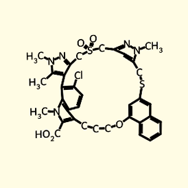 Cc1c2c(nn1C)CS(=O)(=O)Cc1cc(n(C)n1)CSc1cc(c3ccccc3c1)OCCCc1c(C(=O)O)n(C)c3c-2c(Cl)ccc13